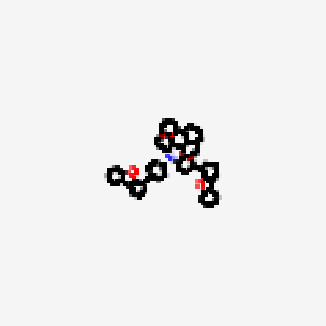 c1ccc(-c2cccc3cccc(-c4ccccc4N(c4ccc(-c5cccc6c5oc5ccccc56)cc4)c4ccc(-c5cccc6c5oc5ccccc56)cc4)c23)cc1